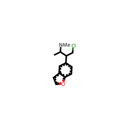 CNC(C)C(CCl)c1ccc2occc2c1